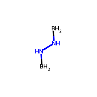 BNNB